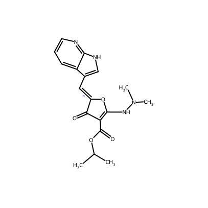 CC(C)OC(=O)C1=C(NN(C)C)O/C(=C\c2c[nH]c3ncccc23)C1=O